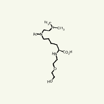 CC(=O)N(CCCC[C@H](NCCOCCO)C(=O)O)CCN(C)C